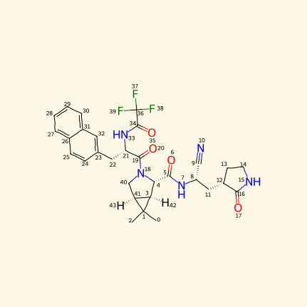 CC1(C)[C@@H]2[C@@H](C(=O)N[C@H](C#N)C[C@@H]3CCNC3=O)N(C(=O)[C@H](Cc3ccc4ccccc4c3)NC(=O)C(F)(F)F)C[C@@H]21